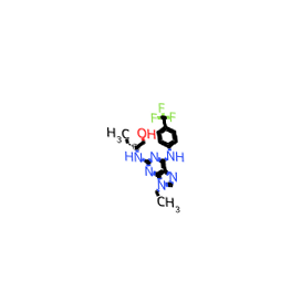 CC[C@H](CO)Nc1nc(Nc2ccc(C(F)(F)F)cc2)c2ncn(CC)c2n1